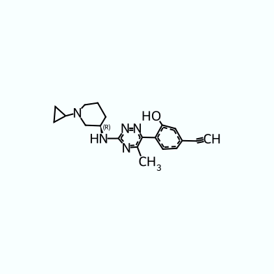 C#Cc1ccc(-c2nnc(N[C@@H]3CCCN(C4CC4)C3)nc2C)c(O)c1